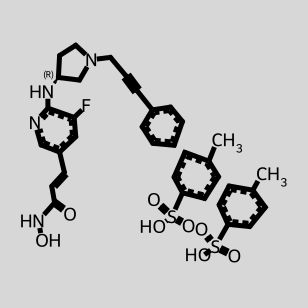 Cc1ccc(S(=O)(=O)O)cc1.Cc1ccc(S(=O)(=O)O)cc1.O=C(C=Cc1cnc(N[C@@H]2CCN(CC#Cc3ccccc3)C2)c(F)c1)NO